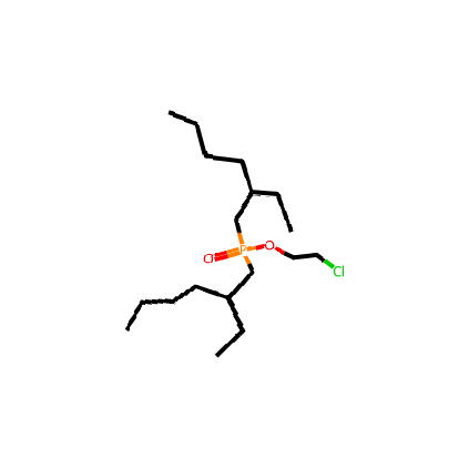 CCCCC(CC)CP(=O)(CC(CC)CCCC)OCCCl